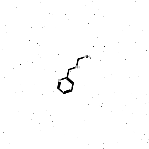 NCNCc1ccccn1